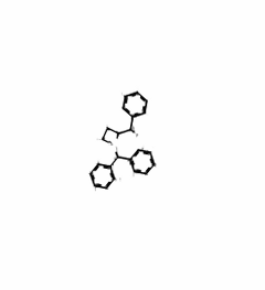 OC(c1ccccc1)C1CCN1C(c1ccccc1)c1ccccc1